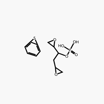 O=P(O)(O)OC(CC1CO1)C1CO1.c1ccc2c(c1)S2